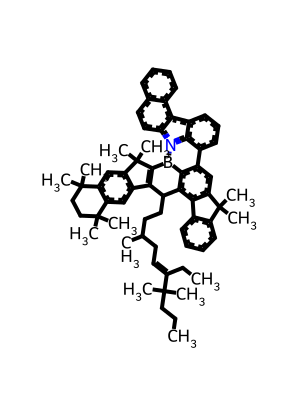 CCCC(C)(C)/C(=C/CC(C)CCC1C2=C(B3c4c(cc5c(c41)-c1ccccc1C5(C)C)-c1cccc4c5c6ccccc6ccc5n3c14)C(C)(C)c1cc3c(cc12)C(C)(C)CCC3(C)C)CC